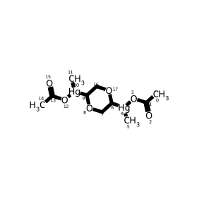 CC(=O)[O][Hg]([CH3])[CH]1CO[CH]([Hg]([CH3])[O]C(C)=O)CO1